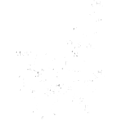 COc1ccc(C2(c3cn(S(=O)(=O)c4ccc(C)cc4)cc3-c3c(C)cc(F)cc3C)OC2(c2ccccc2)c2ccccc2)cc1